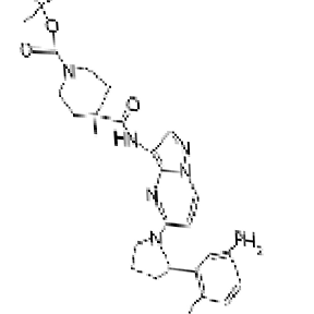 Cc1ccc(P)cc1C1CCCN1c1ccn2ncc(NC(=O)C3(C)CCN(C(=O)OC(C)(C)C)CC3)c2n1